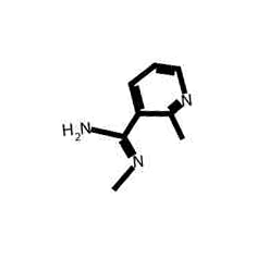 CN=C(N)c1cccnc1C